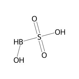 O=S(=O)(O)BO